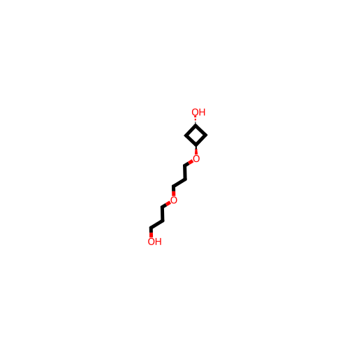 OCCCOCCCO[C@H]1C[C@H](O)C1